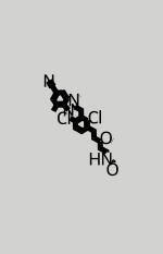 COC(CCNC=O)CCc1ccc(Cl)c(Cc2nc3c(C)cc(C#N)cc3n2C)c1Cl